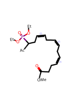 CCOP(=O)(OCC)C(C/C=C\C/C=C\C/C=C\CCC(=O)OC)C(C)=O